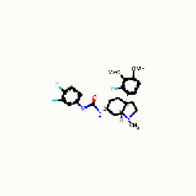 COc1ccc([C@@]23CC[C@@H](NC(=O)Nc4ccc(F)c(F)c4)C[C@@H]2N(C)CC3)c(F)c1OC